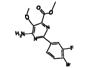 COC(=O)c1nc(-c2ccc(Br)c(F)c2)nc(N)c1OC